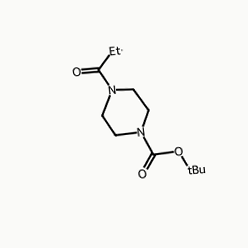 C[CH]C(=O)N1CCN(C(=O)OC(C)(C)C)CC1